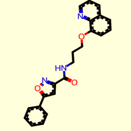 O=C(NCCCOc1cccc2cccnc12)c1cc(-c2ccccc2)on1